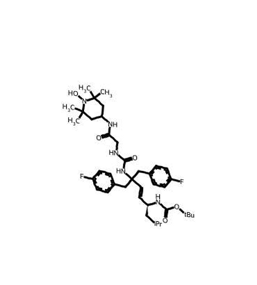 CC(C)C[C@@H](/C=C/C(Cc1ccc(F)cc1)(Cc1ccc(F)cc1)NC(=O)NCC(=O)NC1CC(C)(C)N(O)C(C)(C)C1)NC(=O)OC(C)(C)C